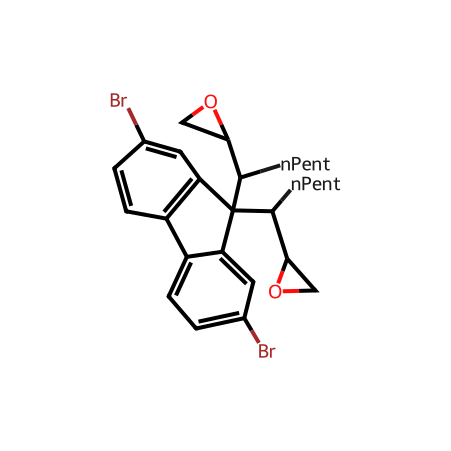 CCCCCC(C1CO1)C1(C(CCCCC)C2CO2)c2cc(Br)ccc2-c2ccc(Br)cc21